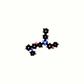 c1ccc(-c2ccc(-c3nc(-c4ccc5c(c4)oc4cc6c7ccccc7n(-c7ccccc7)c6cc45)nc(-c4ccc5oc6ccccc6c5c4)n3)cc2)cc1